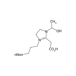 CCCCCCCCCCCC[N+]1=C(CC(=O)O)N(C(C)O)CC1